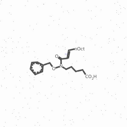 CCCCCCCC/C=C/C(=O)N(CCCCC(=O)O)OCc1ccccc1